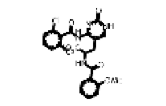 COc1ccccc1C(=O)NC(Cc1c[nH]c(=O)nc1NC(=O)c1c(Cl)cccc1Cl)C(=O)O